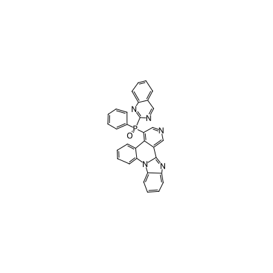 O=P(c1ccccc1)(c1ncc2ccccc2n1)c1cncc2c1c1ccccc1n1c3ccccc3nc21